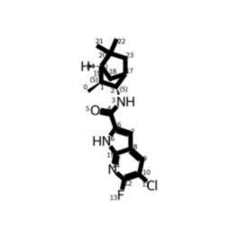 C[C@@H]1[C@@H](NC(=O)c2cc3cc(Cl)c(F)nc3[nH]2)C2C[C@@H]1C(C)(C)C2